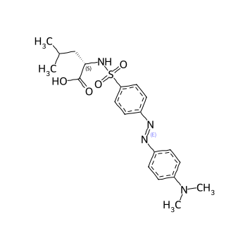 CC(C)C[C@H](NS(=O)(=O)c1ccc(/N=N/c2ccc(N(C)C)cc2)cc1)C(=O)O